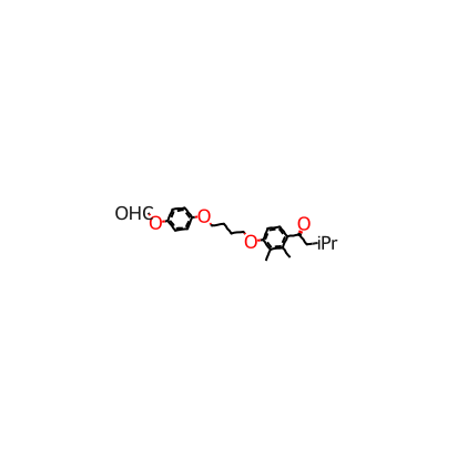 Cc1c(OCCCCOc2ccc(OC=O)cc2)ccc(C(=O)CC(C)C)c1C